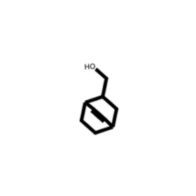 OCC1CC2C=CC1CC2